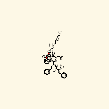 COCCOCCNCCCC[C@@H](NC(=O)[C@@H](CC(C)C)NC(=O)[C@@H](CCc1ccccc1)NC(=O)[C@H](N)Cc1ccccc1)C(=O)N1C2CC1CN(CC(=O)O)C2